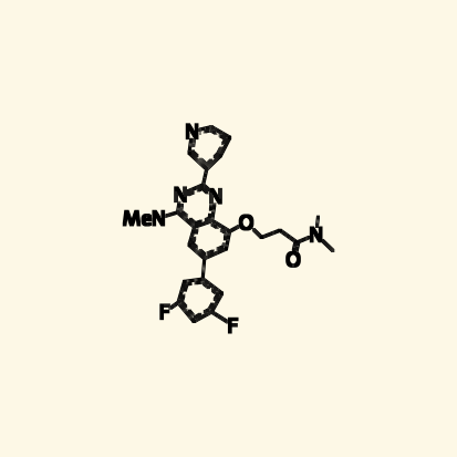 CNc1nc(-c2cccnc2)nc2c(OCCC(=O)N(C)C)cc(-c3cc(F)cc(F)c3)cc12